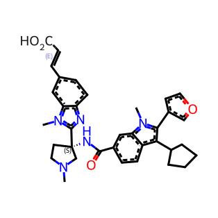 CN1CC[C@@](NC(=O)c2ccc3c(C4CCCC4)c(-c4ccoc4)n(C)c3c2)(c2nc3ccc(/C=C/C(=O)O)cc3n2C)C1